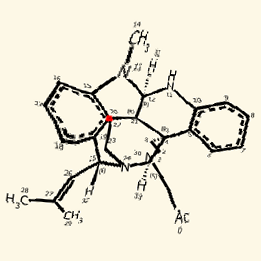 CC(=O)N1CC[C@@]23c4ccccc4N[C@@H]4N(C)c5cccc6c5[C@@]42CCN([C@@H]6C=C(C)C)[C@@H]13